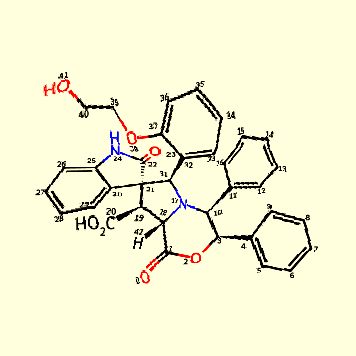 O=C1O[C@H](c2ccccc2)[C@H](c2ccccc2)N2[C@H]1[C@@H](C(=O)O)[C@]1(C(=O)Nc3ccccc31)[C@H]2c1ccccc1OCCO